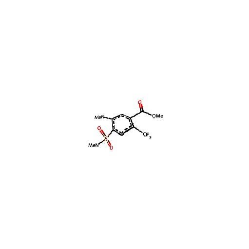 CNc1cc(C(=O)OC)c(C(F)(F)F)cc1S(=O)(=O)NC